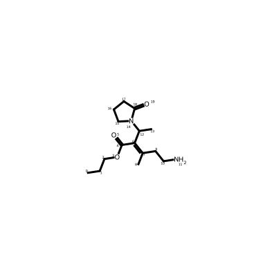 CCCOC(=O)C(=C(C)CCN)C(C)N1CCCC1=O